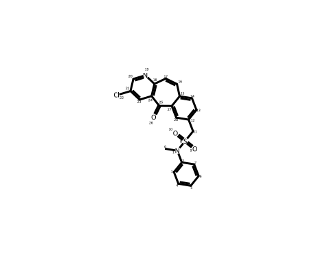 CN(c1ccccc1)S(=O)(=O)Cc1ccc2ccc3ncc(Cl)cc3c(=O)c2c1